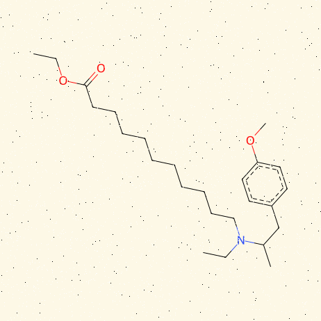 CCOC(=O)CCCCCCCCCCN(CC)C(C)Cc1ccc(OC)cc1